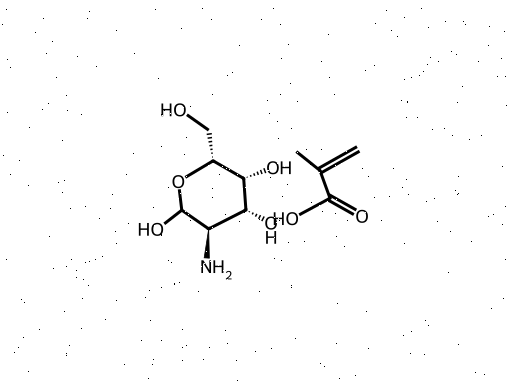 C=C(C)C(=O)O.N[C@H]1C(O)O[C@H](CO)[C@H](O)[C@@H]1O